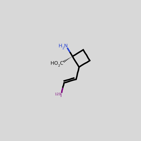 N[C@@]1(C(=O)O)CCC1/C=C/[123I]